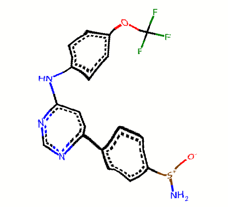 N[S+]([O-])c1ccc(-c2cc(Nc3ccc(OC(F)(F)F)cc3)ncn2)cc1